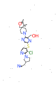 C[C@@H]1OCC2(CCN(c3ncc(Sc4ccnc(N5CCC(CC#N)C5)c4Cl)nc3CO)CC2)[C@@H]1C